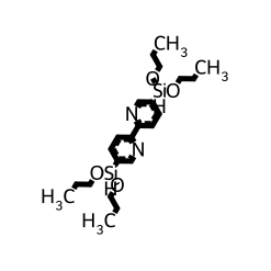 CCCO[SiH](OCCC)c1ccc(-c2ccc([SiH](OCCC)OCCC)cn2)nc1